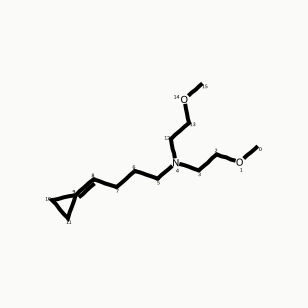 COCCN(CCCC=C1CC1)CCOC